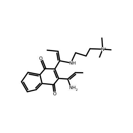 C/C=C(\N)C1=C(/C(=C\C)NCCC[N+](C)(C)C)C(=O)c2ccccc2C1=O